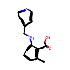 Cc1cccc(NCc2ccncc2)c1C(=O)O